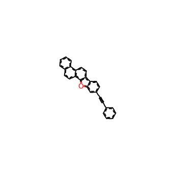 C(#Cc1ccc2c(c1)oc1c2ccc2c3ccccc3ccc21)c1ccccc1